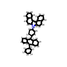 C1=C(c2c3ccccc3c(-c3ccccc3)c3ccccc23)CCC(n2c3ccc4ccccc4c3c3c4ccccc4ccc32)=C1